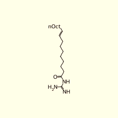 CCCCCCCCC=CCCCCCCCC(=O)NC(=N)N